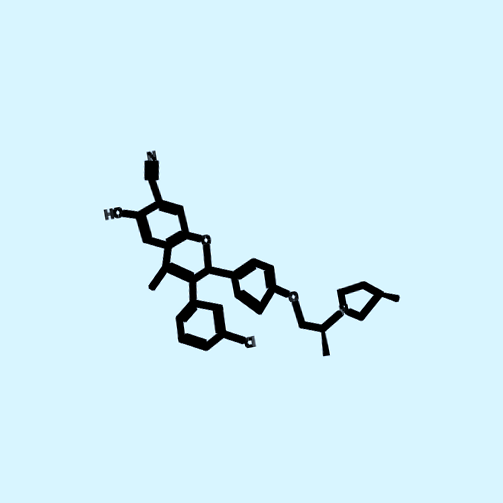 CC1=C(c2cccc(Cl)c2)C(c2ccc(OC[C@H](C)N3CC[C@@H](C)C3)cc2)Oc2cc(C#N)c(O)cc21